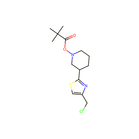 CC(C)(C)C(=O)ON1CCCC(c2nc(CCl)cs2)C1